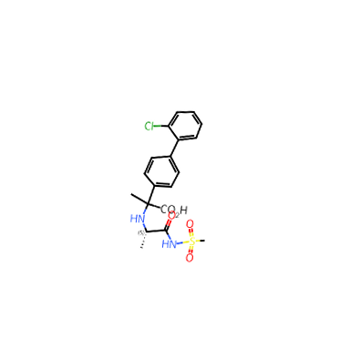 C[C@H](NC(C)(C(=O)O)c1ccc(-c2ccccc2Cl)cc1)C(=O)NS(C)(=O)=O